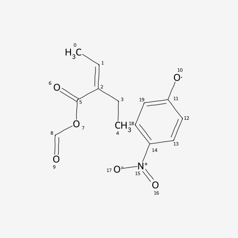 CC=C(CC)C(=O)OC=O.[O]c1ccc([N+](=O)[O-])cc1